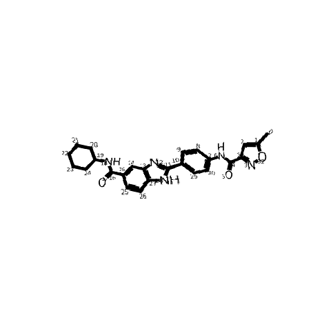 Cc1cc(C(=O)Nc2ccc(-c3nc4cc(C(=O)NC5CCCCC5)ccc4[nH]3)cc2)no1